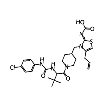 C=CCc1csc(=NC(=O)O)n1CC1CCN(C(=O)C(NC(=O)Nc2ccc(Cl)cc2)C(C)(C)C)CC1